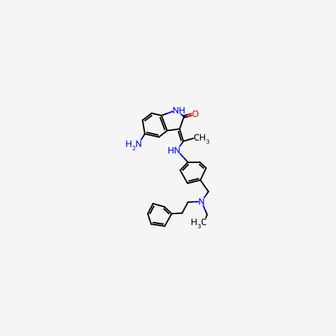 CCN(CCc1ccccc1)Cc1ccc(NC(C)=C2C(=O)Nc3ccc(N)cc32)cc1